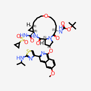 COc1ccc2c(O[C@@H]3C[C@H]4C(=O)N[C@]5(C(=O)NS(=O)(=O)C6CC6)C[C@H]5CCCOCCC[C@H](NC(=O)OC(C)(C)C)C(=O)N4C3)nc(-c3csc(NC(C)C)n3)cc2c1